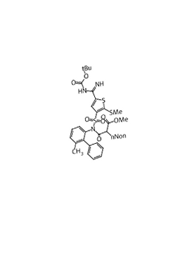 CCCCCCCCCC(C(=O)OC)C(=O)N(c1cccc(C)c1-c1ccccc1)S(=O)(=O)c1cc(C(=N)NC(=O)OC(C)(C)C)sc1SC